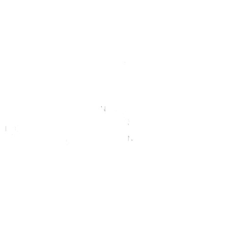 C=C/C=C\c1sc2cccc(N(c3ccc(-c4ccccc4)cc3)c3ccc4sc5ccccc5c4c3)c2c1N(c1ccccc1)c1ccccc1